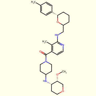 CO[C@@H]1COCC[C@@H]1NC1CCN(C(=O)c2ccnc(NCC3CCC[C@@H](c4ccc(C)cc4)O3)c2C)CC1